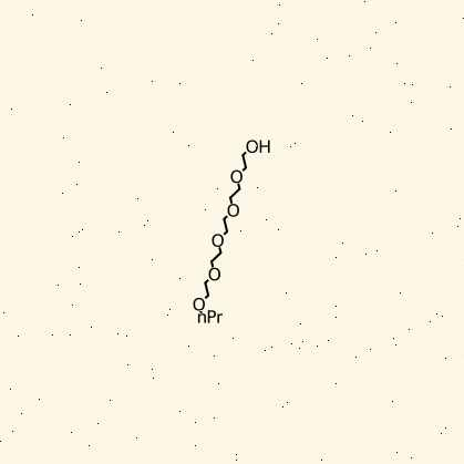 C[CH]COCCOCCOCCOCCOCCO